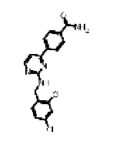 NC(=O)c1ccc(-c2ccnc(NCc3ccc(Cl)cc3Cl)n2)cc1